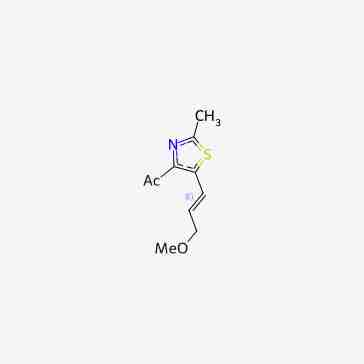 COC/C=C/c1sc(C)nc1C(C)=O